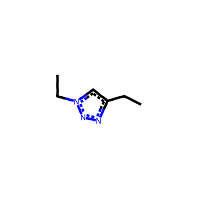 CCc1cn(CC)nn1